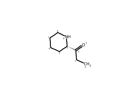 CCC(=O)[C@@H]1CCCCN1